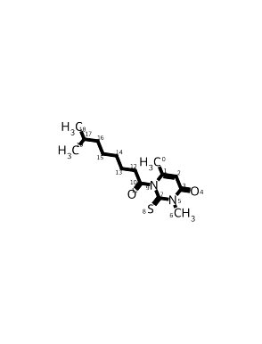 Cc1cc(=O)n(C)c(=S)n1C(=O)CCCCCC(C)C